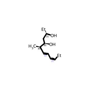 CC/C=C\C=C\[C@@H](C)[C@H](O)C[C@@H](O)CC